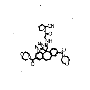 N#CC1CCCN1C(=O)CNCCC1(c2nnn[nH]2)c2ccc(C(=O)N3CCOCC3)cc2CCc2cc(C(=O)N3CCOCC3)ccc21